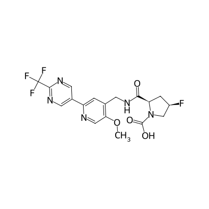 COc1cnc(-c2cnc(C(F)(F)F)nc2)cc1CNC(=O)[C@H]1C[C@@H](F)CN1C(=O)O